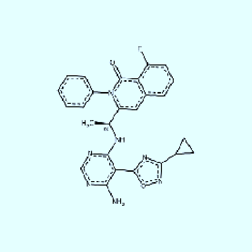 C[C@H](Nc1ncnc(N)c1-c1nc(C2CC2)no1)c1cc2cccc(F)c2c(=O)n1-c1ccccc1